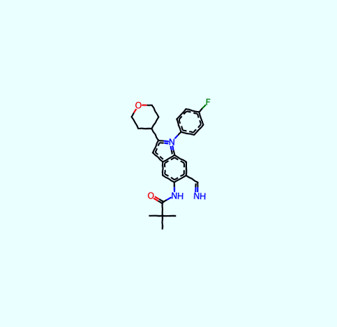 CC(C)(C)C(=O)Nc1cc2cc(C3CCOCC3)n(-c3ccc(F)cc3)c2cc1C=N